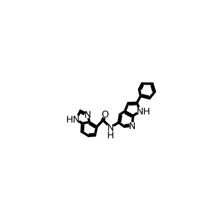 O=C(Nc1cnc2[nH]c(-c3ccccc3)cc2c1)c1cccc2[nH]cnc12